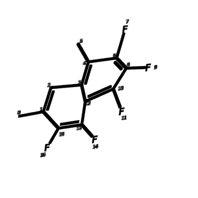 Cc1cc2c(C)c(F)c(F)c(F)c2c(F)c1F